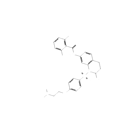 CC1CCc2ccc(NC(=O)c3c(F)cccc3F)cc2N1S(=O)(=O)c1ccc(OCCN(C)C)cc1